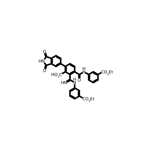 CCOC(=O)c1cccc(NC(=N)c2c(C(=O)Nc3cccc(C(=O)OCC)c3)ccc(-c3ccc4c(c3)C(=O)NC4=O)c2C(=O)O)c1